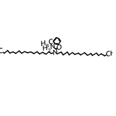 CCCCCCCCCCCCCCCCCCN(CCCCCCCCCCCCCCCCCC)C(N)=O.Cc1ccccc1